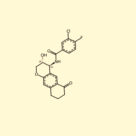 O=C(N[C@H]1c2cc3c(cc2OC[C@@H]1O)CCCC3=O)c1ccc(F)c(Cl)c1